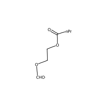 [CH2]CCC(=O)OCCO[C]=O